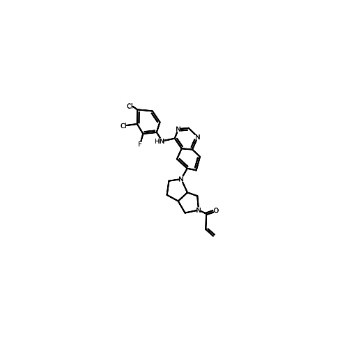 C=CC(=O)N1CC2CCN(c3ccc4ncnc(Nc5ccc(Cl)c(Cl)c5F)c4c3)C2C1